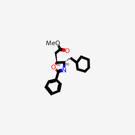 COC(=O)C[C@@H]1OC(c2ccccc2)=N[C@H]1CC1CCCCC1